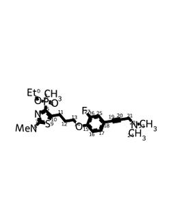 CCOP(C)(=O)c1nc(NC)sc1CCCOc1ccc(C#CCN(C)C)cc1F